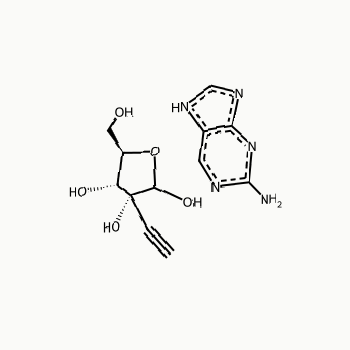 C#C[C@]1(O)C(O)O[C@H](CO)[C@H]1O.Nc1ncc2[nH]cnc2n1